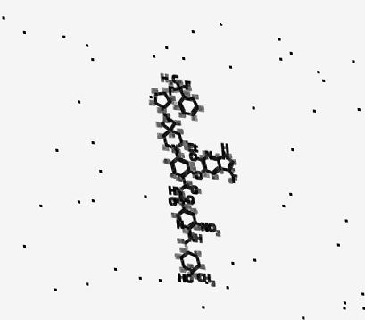 CCOc1nc2[nH]cc(F)c2cc1Oc1cc(N2CCC3(CC2)CN([C@@H]2CCC[C@@H]2c2ccccc2C(C)(F)F)C3)ccc1C(=O)NS(=O)(=O)c1cnc(NC[C@H]2CC[C@](C)(O)CC2)c([N+](=O)[O-])c1